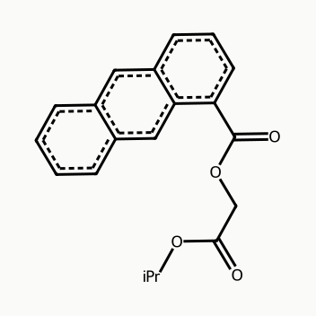 CC(C)OC(=O)COC(=O)c1cccc2cc3ccccc3cc12